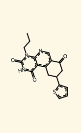 CCCn1c(=O)[nH]c(=O)c2c3c(cnc21)C(=O)CC(c1cccs1)C3